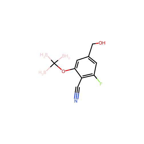 BC(B)(B)Oc1cc(CO)cc(F)c1C#N